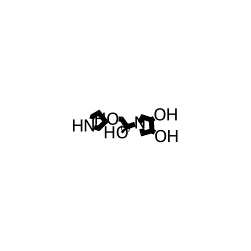 C1CCNC1.OC[C@H](O)N1CC(O)C(O)C1